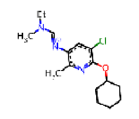 CCN(C)/C=N/c1cc(Cl)c(OC2CCCCC2)nc1C